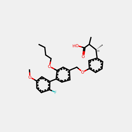 CCCCOc1cc(COc2cccc([C@@H](C)C(C)C(=O)O)c2)ccc1-c1cc(OC)ccc1F